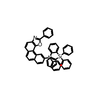 c1ccc(-c2nc3ccc4ccc5ccc(N(c6ccccc6)c6ccccc6[Si](c6ccccc6)(c6ccccc6)c6ccccc6)cc5c4c3o2)cc1